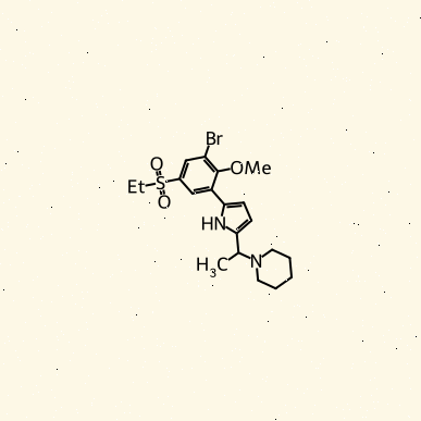 CCS(=O)(=O)c1cc(Br)c(OC)c(-c2ccc(C(C)N3CCCCC3)[nH]2)c1